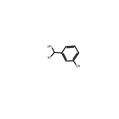 CCCC(CC)c1[c]ccc(C#N)c1